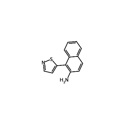 Nc1ccc2ccccc2c1-c1ccns1